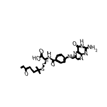 CCC(=O)CCC(C)(C)SSC[C@H](NC(=O)c1ccc(NCc2cnc3nc(N)[nH]c(=O)c3n2)cc1)C(=O)O